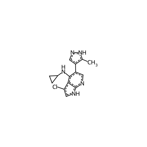 Cc1[nH]ncc1-c1cnc2[nH]cc(Cl)c2c1NC1CC1